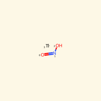 O=NO.[Tl]